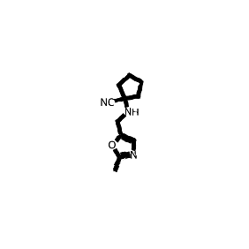 Cc1ncc(CNC2(C#N)CCCC2)o1